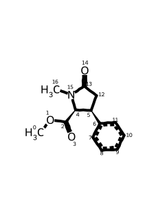 COC(=O)[C@@H]1[C@H](c2ccccc2)CC(=O)N1C